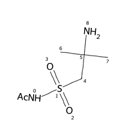 CC(=O)NS(=O)(=O)CC(C)(C)N